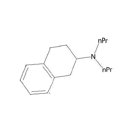 CCCN(CCC)C1CCc2ccc[c]c2C1